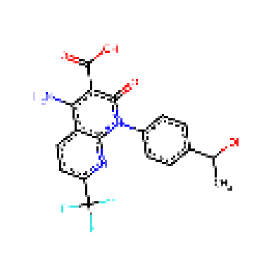 CC(O)c1ccc(-n2c(=O)c(C(=O)O)c(N)c3ccc(C(F)(F)F)nc32)cc1